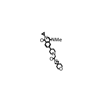 CNc1cn(C2CC2)c(=O)c2ccc(C3CCN(CC(=O)N4CC5(CCOCC5)C4)CC3)cc12